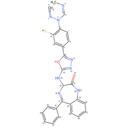 C=NN(/C=N\C)c1ccc(-c2nnc(NC3N=C(c4ccccc4)c4ccccc4NC3=O)o2)cc1F